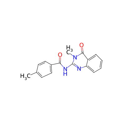 Cc1ccc(C(=O)Nc2nc3ccccc3c(=O)n2C)cc1